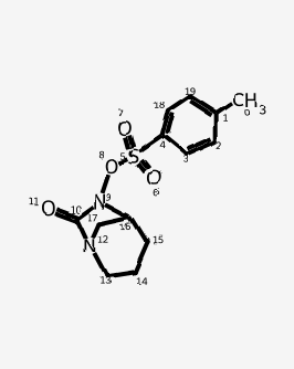 Cc1ccc(S(=O)(=O)ON2C(=O)N3CCCC2C3)cc1